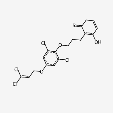 OC1=C(CCCOc2c(Cl)cc(OCC=C(Cl)Cl)cc2Cl)C(=S)CC=C1